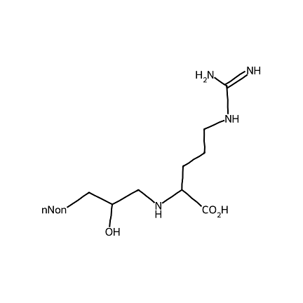 CCCCCCCCCCC(O)CNC(CCCNC(=N)N)C(=O)O